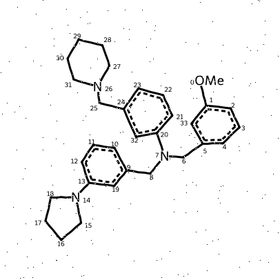 COc1cccc(CN(Cc2cccc(N3CCCC3)c2)c2cccc(CN3CCCCC3)c2)c1